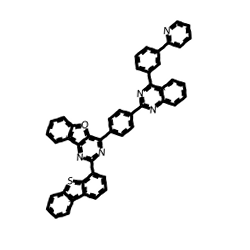 c1ccc(-c2cccc(-c3nc(-c4ccc(-c5nc(-c6cccc7c6sc6ccccc67)nc6c5oc5ccccc56)cc4)nc4ccccc34)c2)nc1